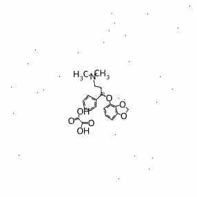 CN(C)CC[C@@H](Oc1cccc2c1OCO2)c1ccccc1.O=C(O)C(=O)O